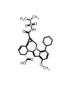 COc1ccc(C2CCCCC2)c2c1cc1n2CC2=C(C(=O)NS(=O)(=O)N(C)C)C2=C2C=CC[C@@H](C(=O)O)C21